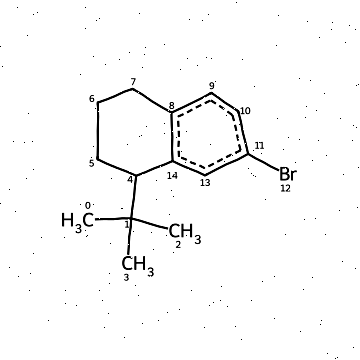 CC(C)(C)C1CCCc2ccc(Br)cc21